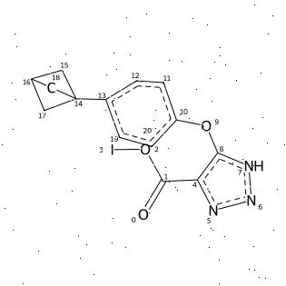 O=C(OI)c1nn[nH]c1Oc1ccc(C23CC(C2)C3)cc1